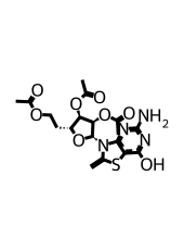 C=C1Sc2c(O)nc(N)nc2N1[C@@H]1O[C@H](CCOC(C)=O)[C@@H](OC(C)=O)[C@H]1OC(C)=O